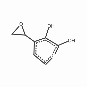 Oc1cccc(C2CO2)c1O